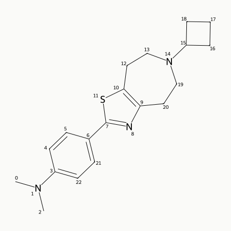 CN(C)c1ccc(-c2nc3c(s2)CCN(C2CCC2)CC3)cc1